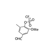 COc1cc(C=O)cc(C)c1OS(=O)(=O)C(F)(F)F